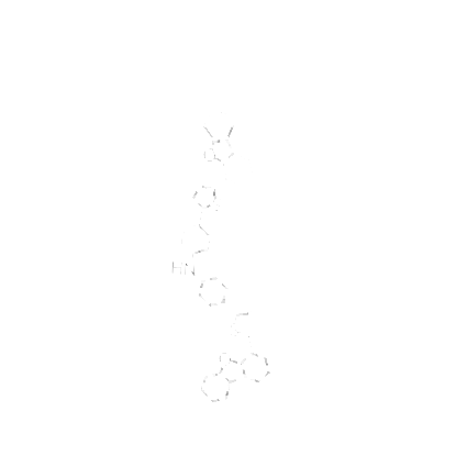 C1=C(Nc2ccc(C3=CCC(c4cccc5c4oc4ccccc45)S3)cc2)CCC(c2ccc(C3CCCc4c3oc3c4=CCCC=3)s2)=C1